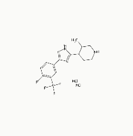 CC1CNCCC1c1nc(-c2ccc(F)c(C(F)(F)F)c2)c[nH]1.Cl.Cl